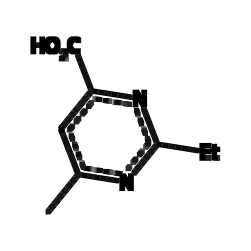 CCc1nc(C)cc(C(=O)O)n1